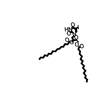 CCCCCCCCCCCCCCCC(=O)OC[C@@H]1O[C@H](n2cc(I)c(=O)[nH]c2=O)CC1OC(=O)CCCCCCCCCCCCCCC